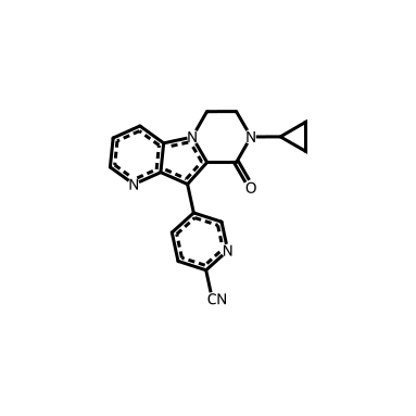 N#Cc1ccc(-c2c3n(c4cccnc24)CCN(C2CC2)C3=O)cn1